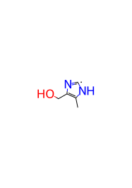 Cc1[nH][c]nc1CO